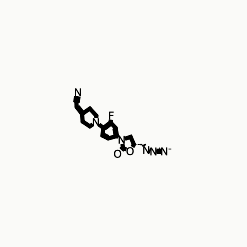 N#CC=C1CCN(c2ccc(N3C[C@H](CN=[N+]=[N-])OC3=O)cc2F)CC1